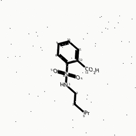 CC(C)CCNS(=O)(=O)c1ccccc1C(=O)O